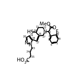 COC(=O)C(c1ccccc1F)N1CCC(S)/C(=C\c2ccnn2CCCC(=O)O)C1